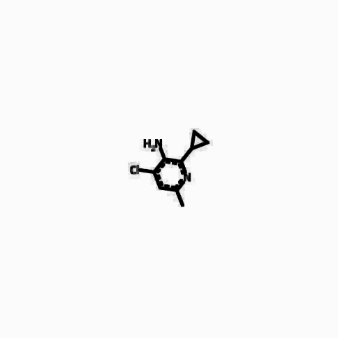 Cc1cc(Cl)c(N)c(C2CC2)n1